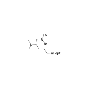 CCCCCCCCCCCN(C)C.N#CB(F)Br